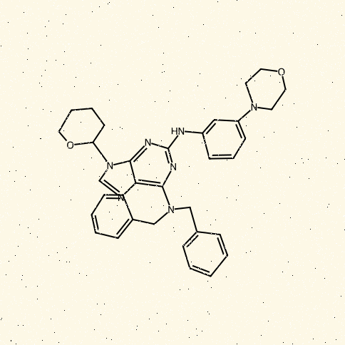 c1ccc(CN(Cc2ccccc2)c2nc(Nc3cccc(N4CCOCC4)c3)nc3c2ncn3C2CCCCO2)cc1